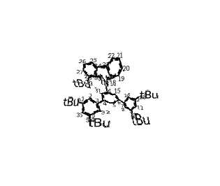 CC(C)(C)c1cc(-c2cc(-c3cc(C(C)(C)C)cc(C(C)(C)C)c3)cc(-n3c4ccccc4c4cccc(C(C)(C)C)c43)c2)cc(C(C)(C)C)c1